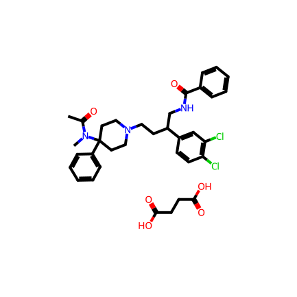 CC(=O)N(C)C1(c2ccccc2)CCN(CCC(CNC(=O)c2ccccc2)c2ccc(Cl)c(Cl)c2)CC1.O=C(O)CCC(=O)O